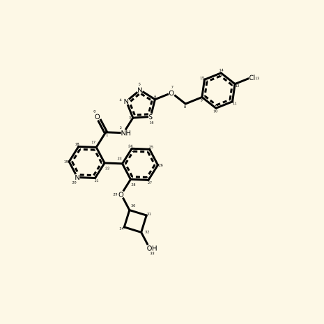 O=C(Nc1nnc(OCc2ccc(Cl)cc2)s1)c1ccncc1-c1ccccc1OC1CC(O)C1